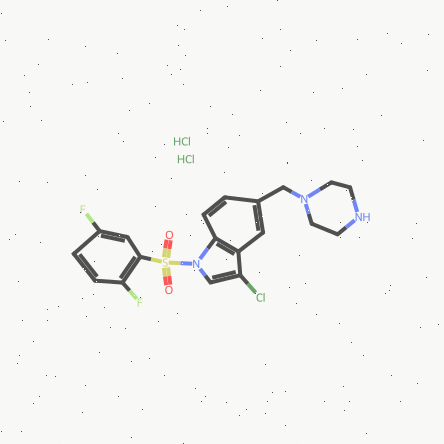 Cl.Cl.O=S(=O)(c1cc(F)ccc1F)n1cc(Cl)c2cc(CN3CCNCC3)ccc21